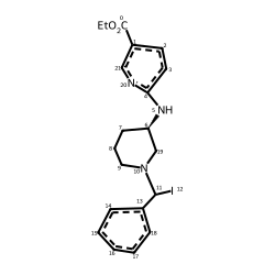 CCOC(=O)c1ccc(N[C@@H]2CCCN(C(I)c3ccccc3)C2)nc1